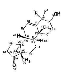 C[C@]12CCC(O)C(F)(F)C1=CC[C@@H]1[C@H]2CC[C@]2(C)C(=O)CC[C@@H]12